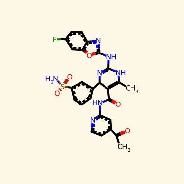 CC(=O)c1ccnc(NC(=O)C2=C(C)NC(Nc3nc4ccc(F)cc4o3)=NC2c2cccc(S(N)(=O)=O)c2)c1